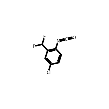 O=C=Nc1ccc(Cl)cc1C(F)F